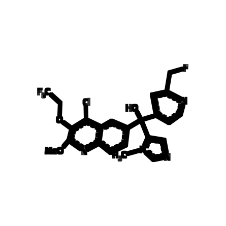 COc1nc2ccc(C(O)(c3ccnc(CF)c3)c3cncn3C)cc2c(Cl)c1OCC(F)(F)F